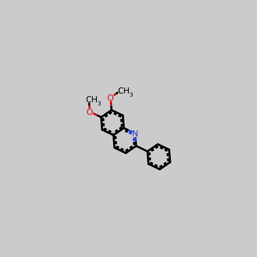 COc1cc2ccc(-c3ccccc3)nc2cc1OC